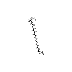 C=CCCCCCCCCCCCCCCCCOC(C)=O